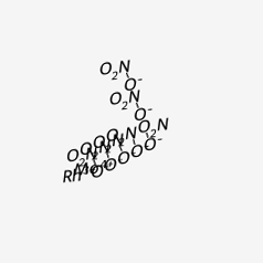 O=[N+]([O-])[O-].O=[N+]([O-])[O-].O=[N+]([O-])[O-].O=[N+]([O-])[O-].O=[N+]([O-])[O-].O=[N+]([O-])[O-].O=[N+]([O-])[O-].[Mo+4].[Rh+3]